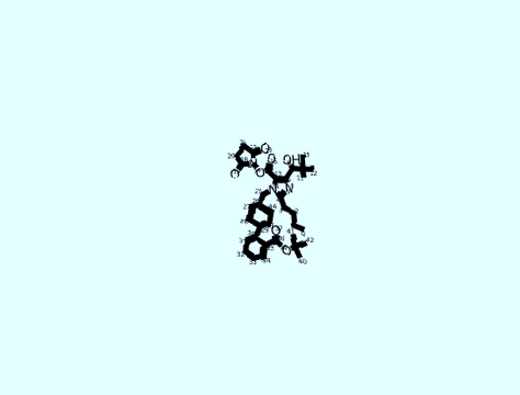 CCCCc1nc(C(O)C(C)(C)C)c(C(=O)ON2C(=O)CCC2=O)n1Cc1ccc(-c2ccccc2C(=O)OC(C)(C)C)cc1